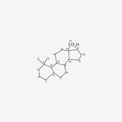 CC1(C)CCCC2CCC3C(CCC4(C(=O)O)CCCC34)C21